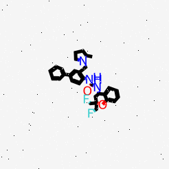 CC1CCCN1Cc1cc(-c2ccccc2)ccc1NC(=O)NC1CC(CF)(CF)Oc2ccccc21